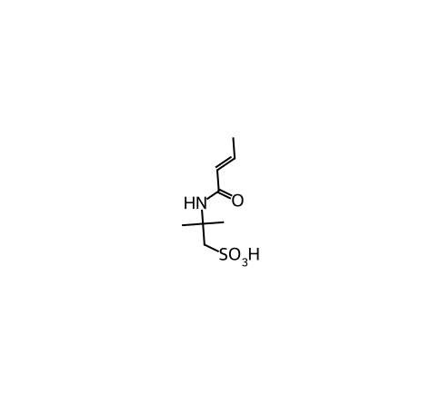 CC=CC(=O)NC(C)(C)CS(=O)(=O)O